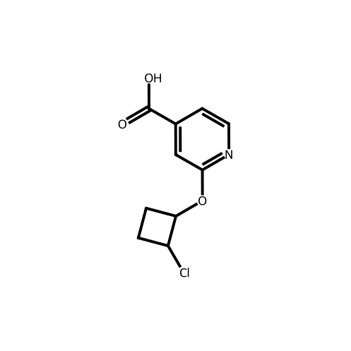 O=C(O)c1ccnc(OC2CCC2Cl)c1